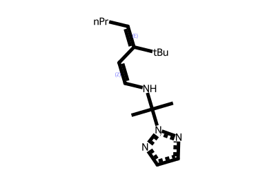 CCC/C=C(\C=C/NC(C)(C)n1nccn1)C(C)(C)C